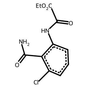 CCOC(=O)C(=O)Nc1cccc(Cl)c1C(N)=O